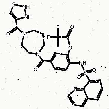 O=C(C1=CSNN1)N1CCCN(C(=O)c2ccc(NS(=O)(=O)c3cccc4cccnc34)c(OC(=O)C(F)(F)F)c2)CC1